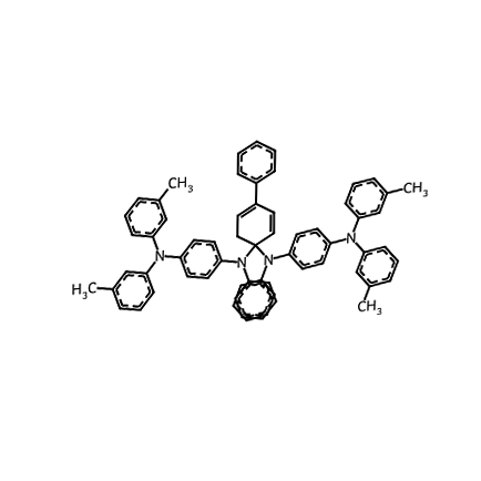 Cc1cccc(N(c2ccc(N(c3ccccc3)C3(N(c4ccccc4)c4ccc(N(c5cccc(C)c5)c5cccc(C)c5)cc4)C=CC(c4ccccc4)=CC3)cc2)c2cccc(C)c2)c1